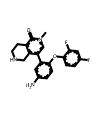 Cn1cc(-c2cc(N)ccc2Oc2ccc(F)cc2F)c2c(c1=O)CCNC2